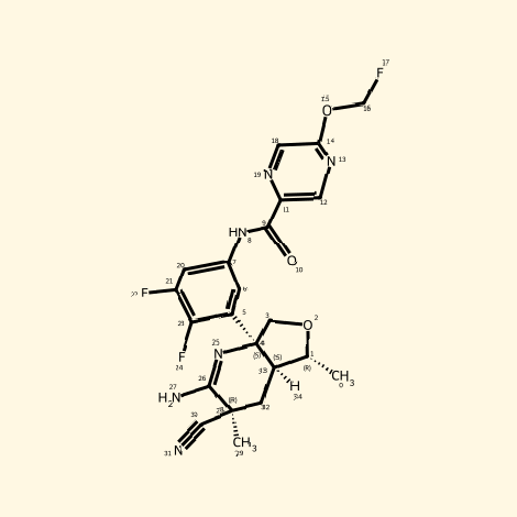 C[C@H]1OC[C@]2(c3cc(NC(=O)c4cnc(OCF)cn4)cc(F)c3F)N=C(N)[C@](C)(C#N)C[C@H]12